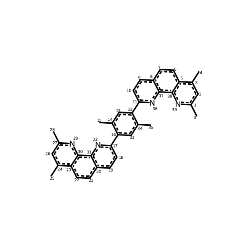 Cc1cc(C)c2ccc3ccc(-c4cc(C)c(-c5ccc6ccc7c(C)cc(C)nc7c6n5)cc4C)nc3c2n1